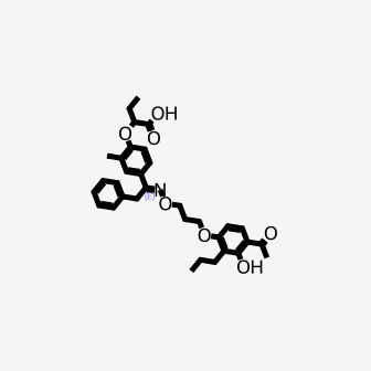 CCCc1c(OCCCO/N=C(\Cc2ccccc2)c2ccc(OC(CC)C(=O)O)c(C)c2)ccc(C(C)=O)c1O